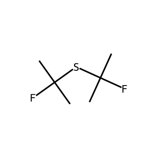 CC(C)(F)SC(C)(C)F